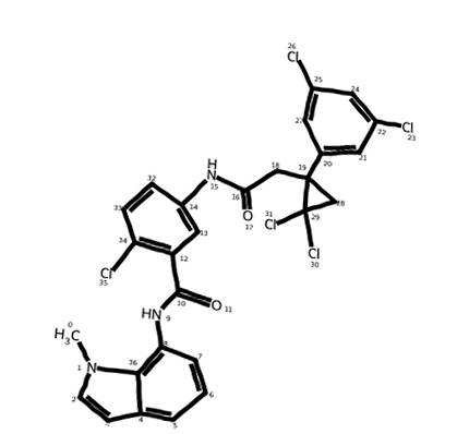 Cn1ccc2cccc(NC(=O)c3cc(NC(=O)CC4(c5cc(Cl)cc(Cl)c5)CC4(Cl)Cl)ccc3Cl)c21